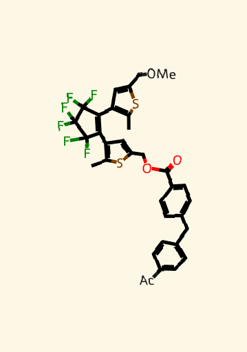 COCc1cc(C2=C(c3cc(COC(=O)c4ccc(Cc5ccc(C(C)=O)cc5)cc4)sc3C)C(F)(F)C(F)(F)C2(F)F)c(C)s1